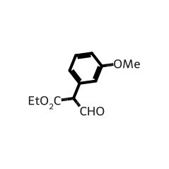 CCOC(=O)C(C=O)c1cccc(OC)c1